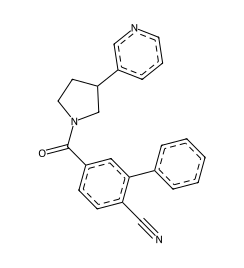 N#Cc1ccc(C(=O)N2CCC(c3cccnc3)C2)cc1-c1ccccc1